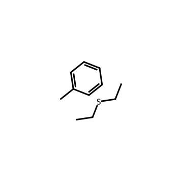 CCSCC.Cc1ccccc1